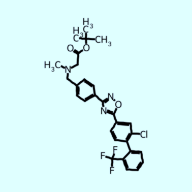 CN(CC(=O)OC(C)(C)C)Cc1ccc(-c2noc(-c3ccc(-c4ccccc4C(F)(F)F)c(Cl)c3)n2)cc1